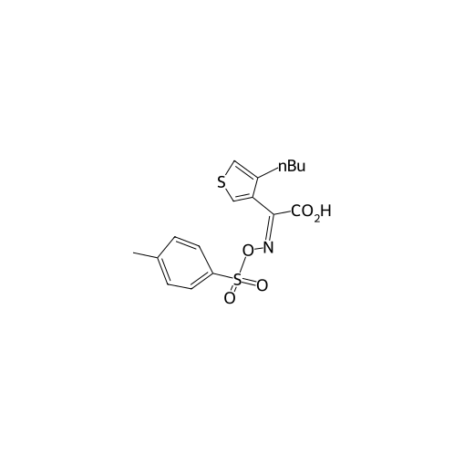 CCCCc1cscc1C(=NOS(=O)(=O)c1ccc(C)cc1)C(=O)O